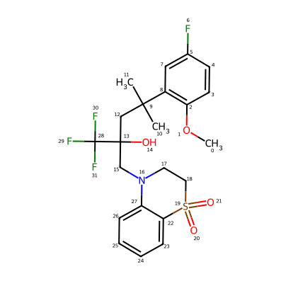 COc1ccc(F)cc1C(C)(C)CC(O)(CN1CCS(=O)(=O)c2ccccc21)C(F)(F)F